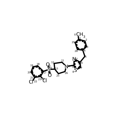 Cc1ccc(Cc2csc(N3CCC(S(=O)(=O)c4cccc(Cl)c4Cl)CC3)n2)cc1